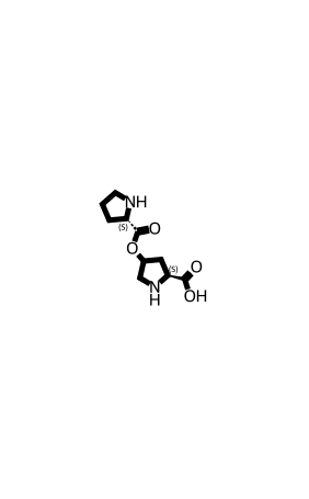 O=C(O)[C@@H]1CC(OC(=O)[C@@H]2CCCN2)CN1